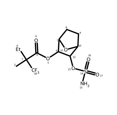 CCC(C)(C(=O)OC1C2CCC(O2)C1OS(N)(=O)=O)C(F)(F)F